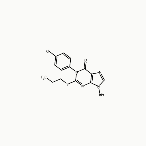 CCCn1cnc2c(=O)n(-c3ccc(Cl)cc3)c(SCCC(F)(F)F)nc21